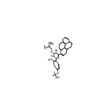 CCCCC(CC)COC1NC(C2=CCC3CCC4C=CCC5CCC2C3C45)=NC(C2=C(O)CC(OC(C)(C)C(C)(C)C)C=C2)N1